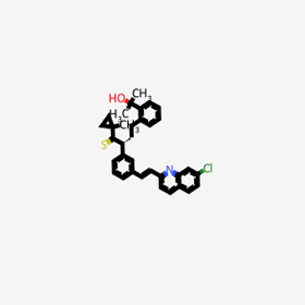 CC1(C(=S)[C@H](CCc2ccccc2C(C)(C)O)c2cccc(/C=C/c3ccc4ccc(Cl)cc4n3)c2)CC1